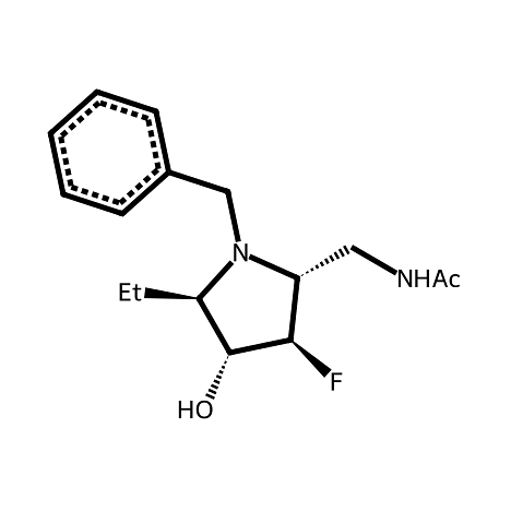 CC[C@@H]1[C@@H](O)[C@H](F)[C@@H](CNC(C)=O)N1Cc1ccccc1